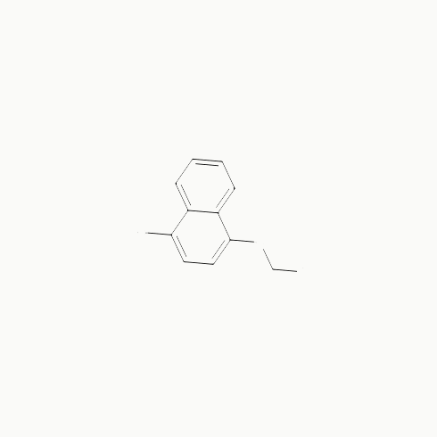 Oc1ccc(OCCl)c2ccccc12